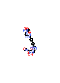 COC(=O)N[C@H](C(=O)N1CCCC1c1ncc(-c2ccc(-c3ccc(-c4cnc([C@@H]5CCCN5C(=O)[C@H](CCN5CCOCC5)NC(=O)O)[nH]4)cc3)cc2)[nH]1)C(C)C